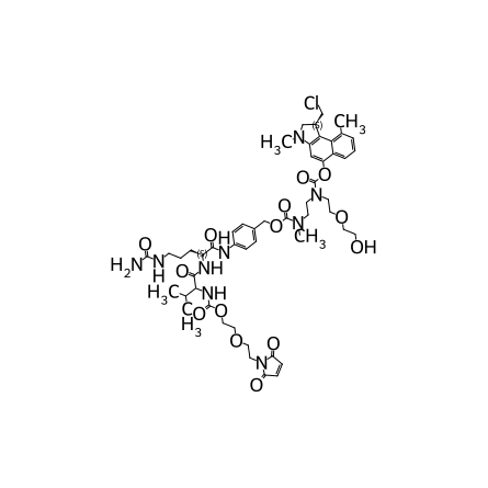 Cc1cccc2c(OC(=O)N(CCOCCO)CCN(C)C(=O)OCc3ccc(NC(=O)[C@H](CCCNC(N)=O)NC(=O)C(NC(=O)OCCOCCN4C(=O)C=CC4=O)C(C)C)cc3)cc3c(c12)[C@H](CCl)CN3C